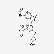 CO[C@@]1(c2cc(OC3CC(O)C3)cc(-c3cn(C)c4cnc(NC(C)=O)cc34)n2)CCOC1